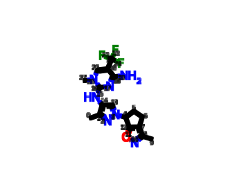 Cc1nn(C2CCc3c(C)noc32)cc1NC1N=C(N)C(C(F)(F)F)=CN1C